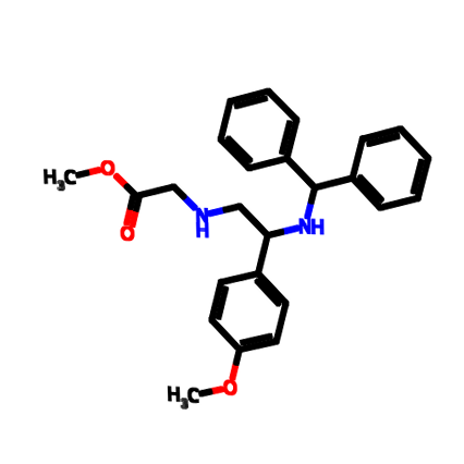 COC(=O)CNCC(NC(c1ccccc1)c1ccccc1)c1ccc(OC)cc1